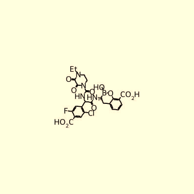 CCN1CCN(C(=O)NC(C(=O)N[C@H]2Cc3cccc(C(=O)O)c3OB2O)c2cc(F)c(C(=O)O)cc2Cl)C(=O)C1=O